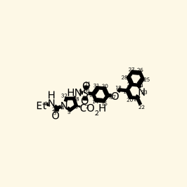 CCNC(=O)N1C[C@H](C(=O)O)[C@H](NS(=O)(=O)c2ccc(OCc3cc(C)nc4ccccc34)cc2)C1